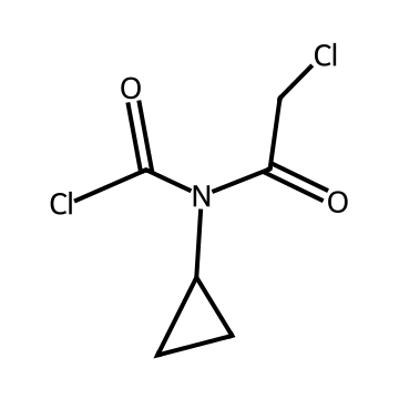 O=C(Cl)N(C(=O)CCl)C1CC1